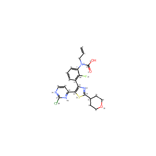 C=CCN(C(=O)O)c1cccc(-c2nc(C3CCOCC3)sc2-c2ccnc(Cl)n2)c1F